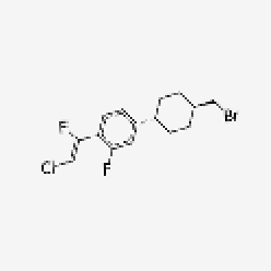 F/C(=C\Cl)c1ccc([C@H]2CC[C@H](CBr)CC2)cc1F